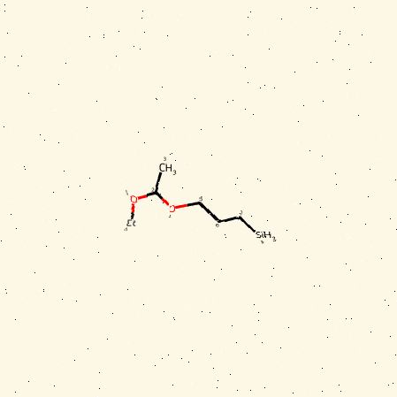 CCOC(C)OCCC[SiH3]